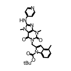 Cc1cccc2c1cc(Cn1c(=O)c3c(nc(Nc4ccncc4)n3C)n(C)c1=O)n2C(=O)OC(C)(C)C